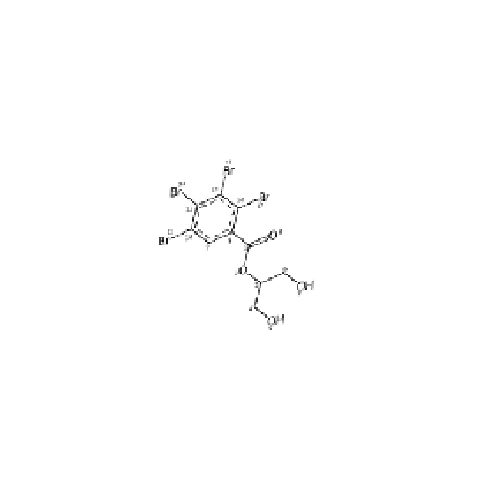 O=C(OC(CO)CO)c1cc(Br)c(Br)c(Br)c1Br